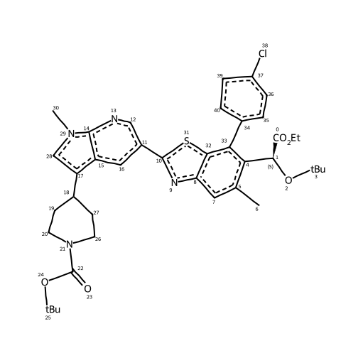 CCOC(=O)[C@@H](OC(C)(C)C)c1c(C)cc2nc(-c3cnc4c(c3)c(C3CCN(C(=O)OC(C)(C)C)CC3)cn4C)sc2c1-c1ccc(Cl)cc1